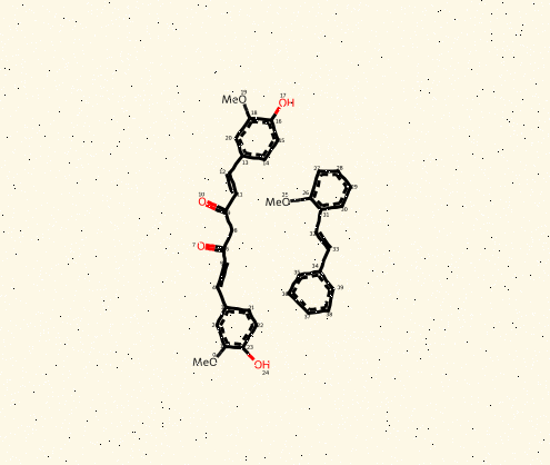 COc1cc(C=CC(=O)CC(=O)C=Cc2ccc(O)c(OC)c2)ccc1O.COc1ccccc1C=Cc1ccccc1